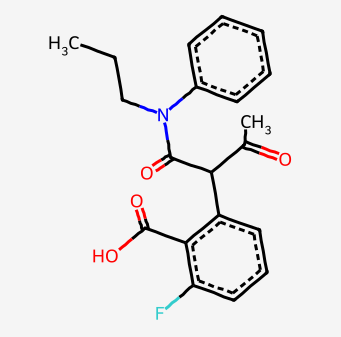 CCCN(C(=O)C(C(C)=O)c1cccc(F)c1C(=O)O)c1ccccc1